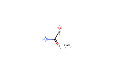 CC(C)C(N)=O.O.[CaH2]